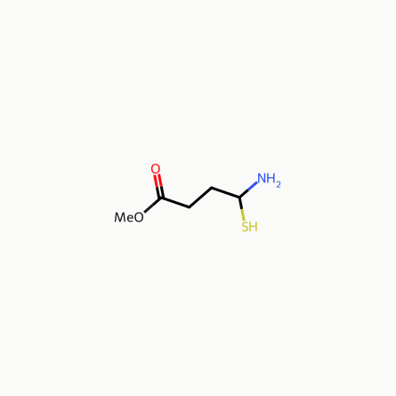 COC(=O)CCC(N)S